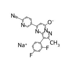 Cc1nn2c([O-])cc(-c3ccc(C#N)nc3)nc2c1-c1ccc(F)cc1F.[Na+]